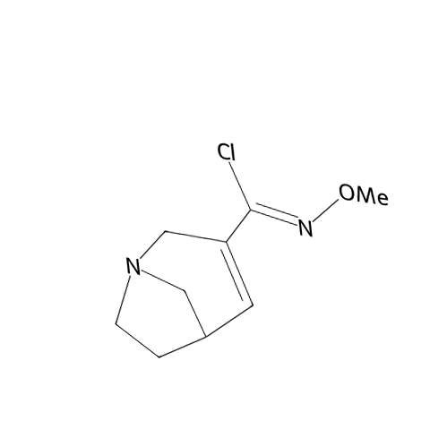 CON=C(Cl)C1=CC2CCN(C1)C2